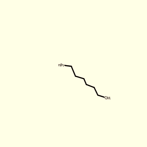 C[CH]CCCCCCCO